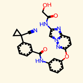 N#CC1(c2cccc(C(=O)Nc3cccc(Oc4ccc5nc(NC(=O)CO)cn5n4)c3)c2)CC1